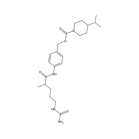 CC(CCCNC(N)=O)C(=O)Nc1ccc(COC(=O)N2CCC(C(C)C)CC2)cc1